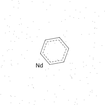 [Nd].c1ccccc1